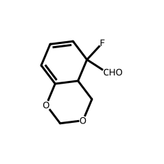 O=CC1(F)C=CC=C2OCOCC21